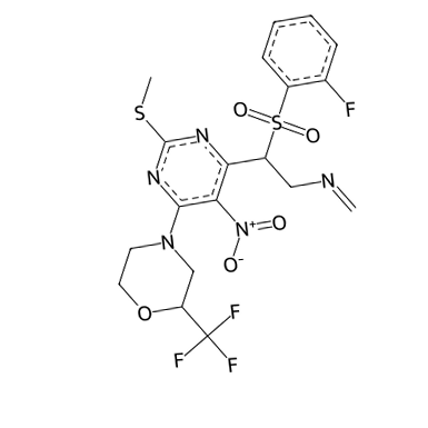 C=NCC(c1nc(SC)nc(N2CCOC(C(F)(F)F)C2)c1[N+](=O)[O-])S(=O)(=O)c1ccccc1F